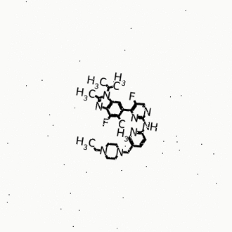 CCN1CCN(Cc2ccc(Nc3ncc(F)c(-c4cc5c(nc(C)n5C(C)C)c(F)c4C)n3)nc2)CC1